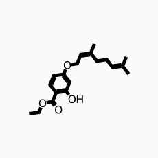 CCOC(=O)c1ccc(OCC=C(C)CCC=C(C)C)cc1O